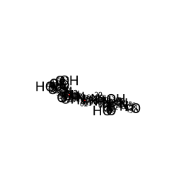 COc1ccc(N=Nc2ccc3c(O)c(N=Nc4cc(C)c(N=Nc5ccc(N=Nc6ccc(N=Nc7cc8c(S(=O)(=O)O)cc(S(=O)(=O)O)cc8cc7S(=O)(=O)O)c(C)c6)c(C)c5)cc4C)c(S(=O)(=O)O)cc3c2)cc1